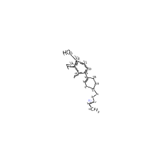 C/C=C/CCC1CC=C(c2ccc(O)c(F)c2F)CC1